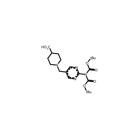 CC(C)(C)OC(=O)N(C(=O)OC(C)(C)C)c1ncc(CN2CCC(C(=O)O)CC2)cn1